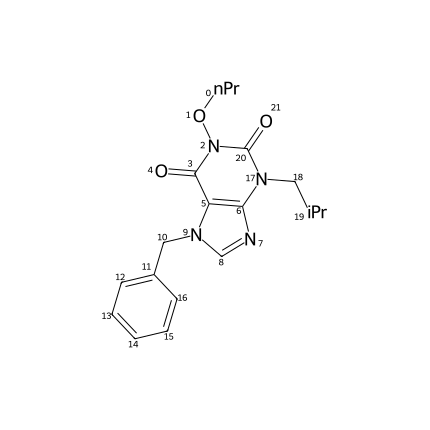 CCCOn1c(=O)c2c(ncn2Cc2ccccc2)n(CC(C)C)c1=O